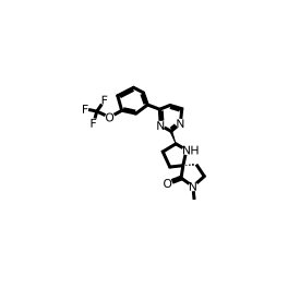 CN1CC[C@@]2(CC[C@@H](c3nccc(-c4cccc(OC(F)(F)F)c4)n3)N2)C1=O